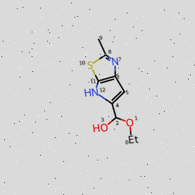 CCOC(O)c1cc2nc(C)sc2[nH]1